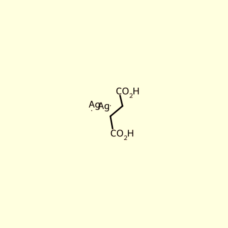 O=C(O)CCC(=O)O.[Ag].[Ag]